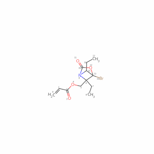 C=CC(=O)OCC1(CC)N2C(=O)OC1(Br)C2CC